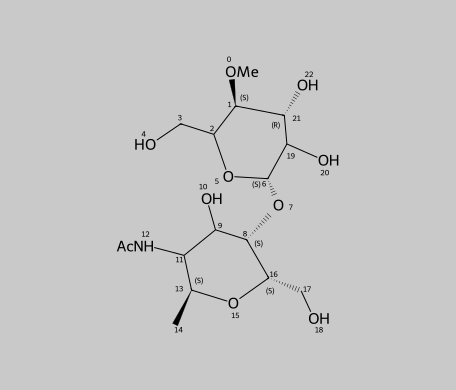 CO[C@@H]1C(CO)O[C@@H](O[C@H]2C(O)C(NC(C)=O)[C@H](C)O[C@H]2CO)C(O)[C@H]1O